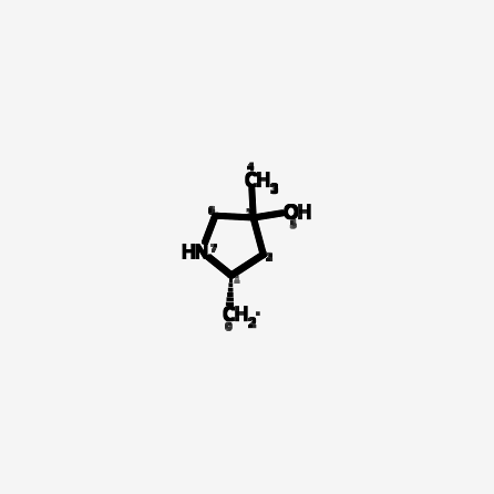 [CH2][C@H]1CC(C)(O)CN1